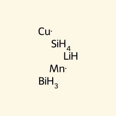 [BiH3].[Cu].[LiH].[Mn].[SiH4]